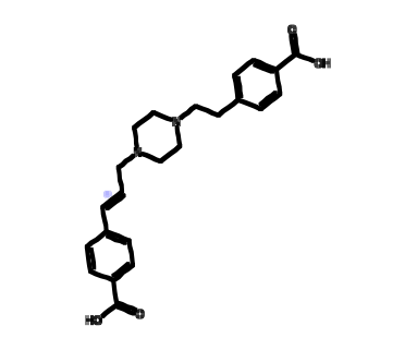 O=C(O)c1ccc(/C=C/CN2CCN(CCc3ccc(C(=O)O)cc3)CC2)cc1